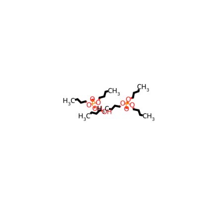 CCCCO.CCCCOP(=O)(O)OCCCC.CCCCOP(=O)(OCCCC)OCCCC